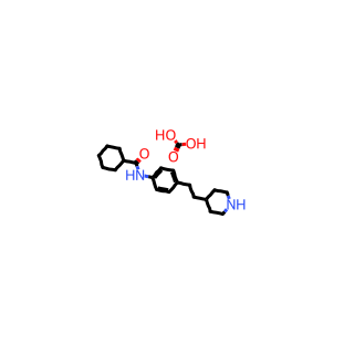 O=C(Nc1ccc(CCC2CCNCC2)cc1)C1CCCCC1.O=C(O)O